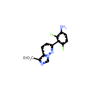 CCOC(=O)c1ncn2nc(-c3c(F)ccc(N)c3F)ccc12